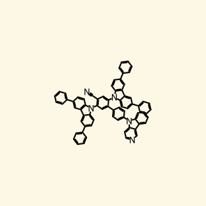 N#Cc1cc(-n2c3ccc(-c4ccccc4)cc3c3cc(-c4ccccc4)ccc32)c(-c2ccc(-n3c4ccccc4c4cnccc43)cc2)cc1-n1c2ccc(-c3ccccc3)cc2c2cc(-c3ccccc3)ccc21